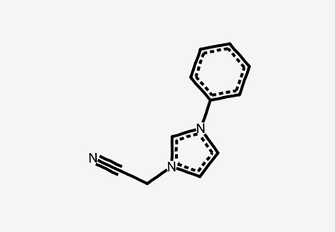 N#CC[n+]1ccn(-c2ccccc2)c1